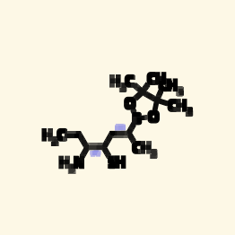 C=C/C(N)=C(S)\C=C(/C)B1OC(C)(C)C(C)(C)O1